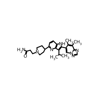 Cc1c(-c2[nH]c3ccc(C4CCN(CCC(N)=O)CC4)nc3c2C(C)C)cn2ncnc2c1C